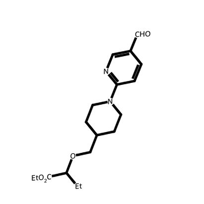 CCOC(=O)C(CC)OCC1CCN(c2ccc(C=O)cn2)CC1